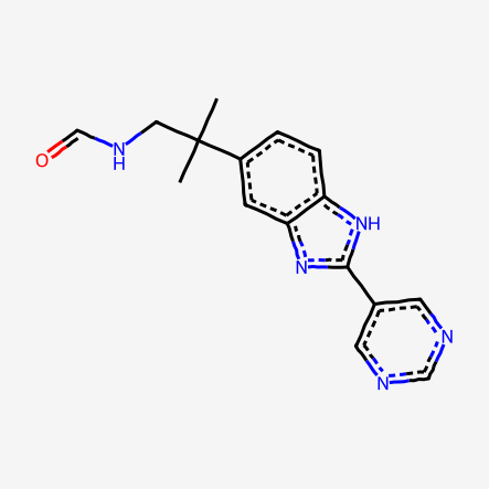 CC(C)(CNC=O)c1ccc2[nH]c(-c3cncnc3)nc2c1